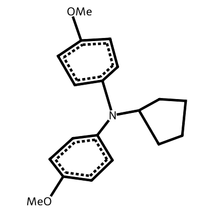 COc1ccc(N(c2ccc(OC)cc2)C2CCCC2)cc1